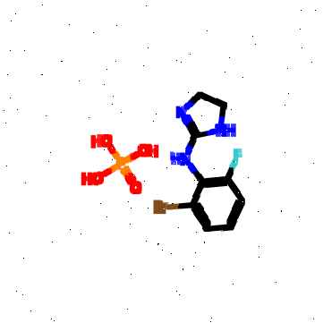 Fc1cccc(Br)c1NC1=NCCN1.O=P(O)(O)O